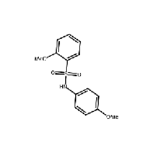 COc1ccc(NS(=O)(=O)c2ccccc2OC)cc1